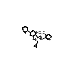 O=C(O)c1ccncc1NCC1c2ccc(-c3ccccc3F)cc2CN1CC1CC1